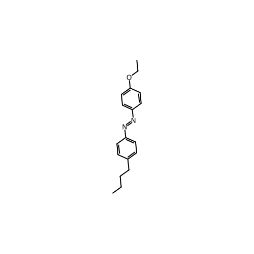 CCCCc1ccc(N=Nc2ccc(OCC)cc2)cc1